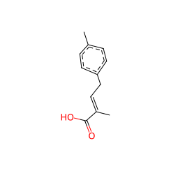 C/C(=C\Cc1ccc(C)cc1)C(=O)O